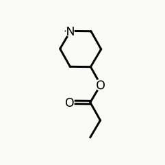 CCC(=O)OC1CC[N]CC1